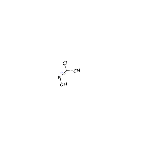 N#C/C(Cl)=N\O